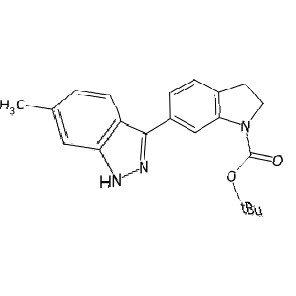 Cc1ccc2c(-c3ccc4c(c3)N(C(=O)OC(C)(C)C)CC4)n[nH]c2c1